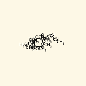 CC[C@H]1OC(=O)[C@H](C)C(=O)[C@H](C)[C@@H](OC2O[C@H](C)C[C@H](N(C)C)[C@H]2O)[C@@](C)(OC)C[C@@H](C)C(=O)[C@H](C)[C@@H](N(C=O)CCCCn2cnc(-c3ccc(C)nc3)c2)[C@]1(CC)OC